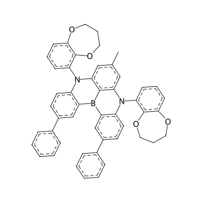 Cc1cc2c3c(c1)N(c1cccc4c1OCCCO4)c1ccc(-c4ccccc4)cc1B3c1cc(-c3ccccc3)ccc1N2c1cccc2c1OCCCO2